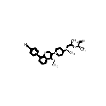 COc1c(N2CCC(N(C)CC(C)OC(C)C=O)CC2)cnc2c(-c3ccc(C#N)cc3)cccc12